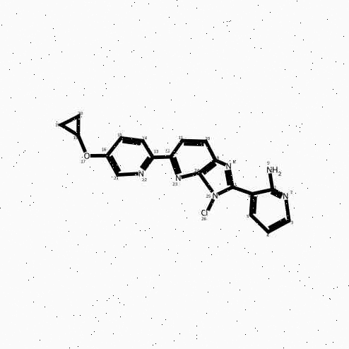 Nc1ncccc1-c1nc2ccc(-c3ccc(OC4CC4)cn3)nc2n1Cl